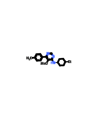 CC[C@H]1CC[C@H](Nc2ncnc(-c3ccc(C)cc3)c2OC)CC1